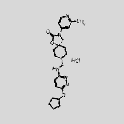 Cc1cc(N2C[C@]3(CC[C@@H](CNc4ccc(OC5CCCC5)nn4)CC3)OC2=O)ccn1.Cl